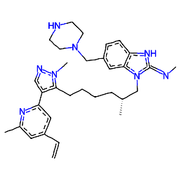 C=Cc1cc(C)nc(-c2cnn(C)c2CCCC[C@@H](C)Cn2/c(=N/C)[nH]c3ccc(CN4CCNCC4)cc32)c1